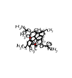 CCc1cc(CC)c(C(c2c(CC)cc(CC)cc2CC)(C2CCC(OC(N)=O)CC2)C2CCC(OC(N)=O)CC2)c(CC)c1